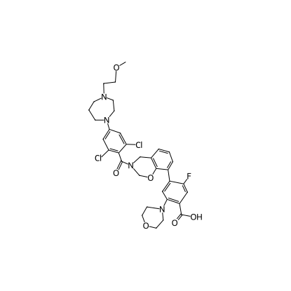 COCCN1CCCN(c2cc(Cl)c(C(=O)N3COc4c(cccc4-c4cc(N5CCOCC5)c(C(=O)O)cc4F)C3)c(Cl)c2)CC1